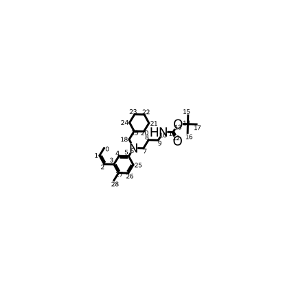 C/C=C\c1cc(N(CCCNC(=O)OC(C)(C)C)CC2CCCCC2)ccc1C